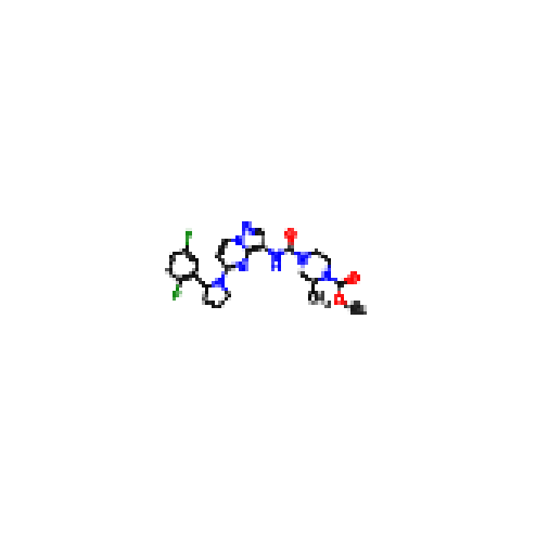 CC1CN(C(=O)Nc2cnn3ccc(N4CCCC4c4cc(F)ccc4F)nc23)CCN1C(=O)OC(C)(C)C